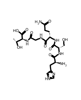 C[C@@H](O)[C@H](NC(=O)CNC(=O)[C@H](CCC(N)=O)NC(=O)[C@H](CO)NC(=O)[C@@H](N)Cc1c[nH]cn1)C(=O)O